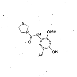 COc1cc(O)c(C(C)=O)cc1NC(=O)N1CCSC1